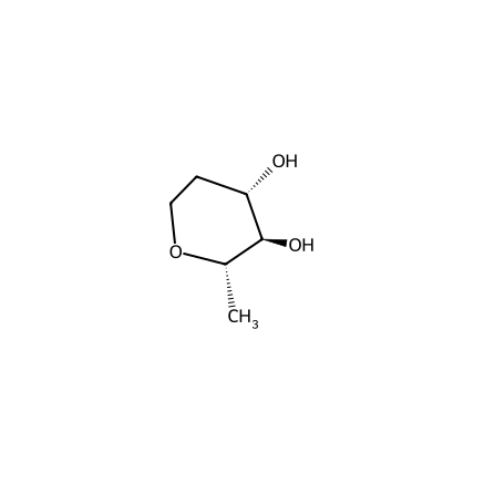 C[C@@H]1OCC[C@H](O)[C@H]1O